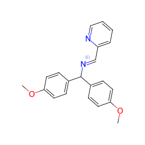 COc1ccc(C(/N=C/c2ccccn2)c2ccc(OC)cc2)cc1